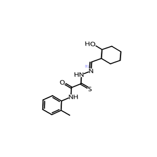 Cc1ccccc1NC(=O)C(=S)N/N=C/C1CCCCC1O